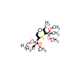 CCC(SC(CC)[Si](C)(OC)OC)[Si](C)(OC)OC